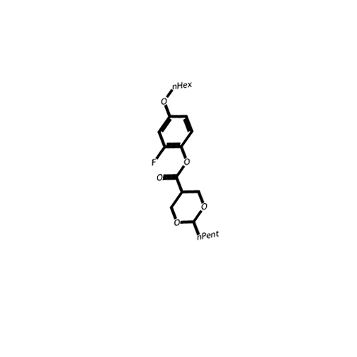 CCCCCCOc1ccc(OC(=O)C2COC(CCCCC)OC2)c(F)c1